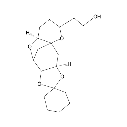 OCCC1CC[C@@H]2OC3CC2(C[C@H]2OC4(CCCCC4)OC32)O1